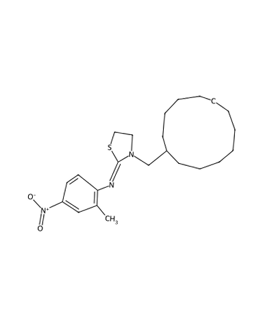 Cc1cc([N+](=O)[O-])ccc1N=C1SCCN1CC1CCCCCCCCCCC1